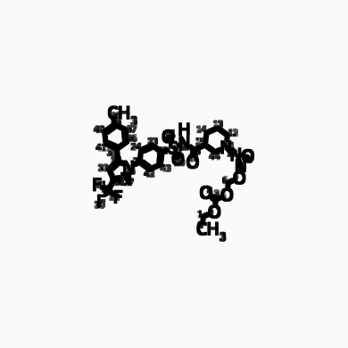 CCOC(=O)OCOn1on1N1CCCC(C(=O)NS(=O)(=O)c2ccc(-n3nc(C(F)(F)F)cc3-c3ccc(C)cc3)cc2)C1